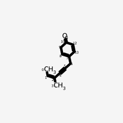 CC=C(C)C#CCC1=CCC(=O)C=C1